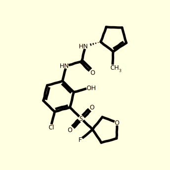 CC1=CCC[C@H]1NC(=O)Nc1ccc(Cl)c(S(=O)(=O)C2(F)CCOC2)c1O